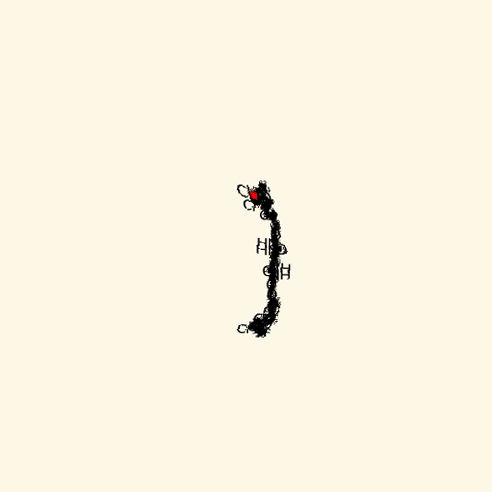 Cc1cc([S+]([O-])N2CC[C@H](COCCOCCNC(=O)NCCCCNC(=O)NCCOCCOC[C@H]3CCN(S(=O)(=O)c4ccc(O[C@H]5c6cc(Cl)cc(Cl)c6C[C@@H]5N(C)C)c(C)c4)C3)C2)ccc1O[C@H]1c2cc(Cl)cc(Cl)c2C[C@@H]1N(C)C